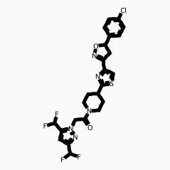 O=C(Cn1nc(C(F)F)cc1C(F)F)N1CCC(c2nc(C3=NOC(c4[c]cc(Cl)cc4)C3)cs2)CC1